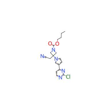 CCCCOC(=O)N1CC(CC#N)(n2ccc(-c3ccnc(Cl)n3)c2)C1